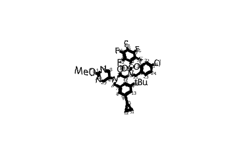 COc1ncc(N(Cc2cc(C3CC3)cc(C(C)(C)C)c2)C(=O)CN(Cc2ccc(Cl)cc2)S(=O)(=O)c2c(F)c(F)c(F)c(F)c2F)cn1